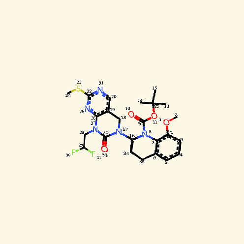 COc1cccc2c1N(C(=O)OC(C)(C)C)C(N1Cc3cnc(SC)nc3N(CC(F)F)C1=O)CC2